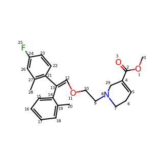 COC(=O)C1=CCCN(CCO/C=C(\c2ccccc2C)c2ccc(F)cc2C)C1